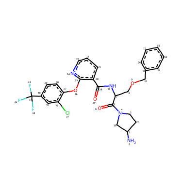 NC1CCN(C(=O)C(COCc2ccccc2)NC(=O)c2cccnc2Oc2ccc(C(F)(F)F)cc2Cl)C1